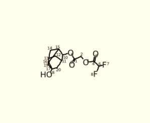 O=C(COC(=O)C(F)F)OC1C2CC3CC1CC(O)(C3)C2